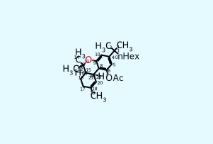 CCCCCCC(C)(C)c1cc(OC(C)=O)c2c(c1)OC(C)(C)[C@@H]1CCC(C)=C[C@@H]21